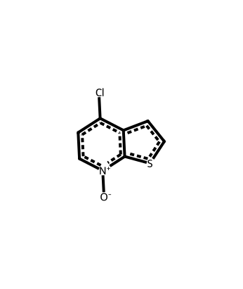 [O-][n+]1ccc(Cl)c2ccsc21